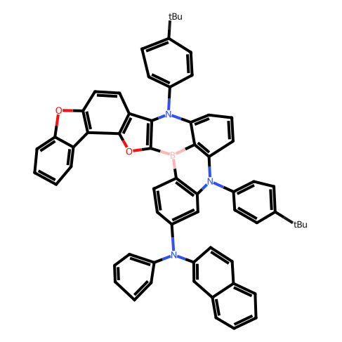 CC(C)(C)c1ccc(N2c3cc(N(c4ccccc4)c4ccc5ccccc5c4)ccc3B3c4oc5c(ccc6oc7ccccc7c65)c4N(c4ccc(C(C)(C)C)cc4)c4cccc2c43)cc1